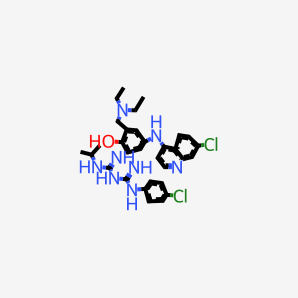 CC(C)NC(=N)NC(=N)Nc1ccc(Cl)cc1.CCN(CC)Cc1cc(Nc2ccnc3cc(Cl)ccc23)ccc1O